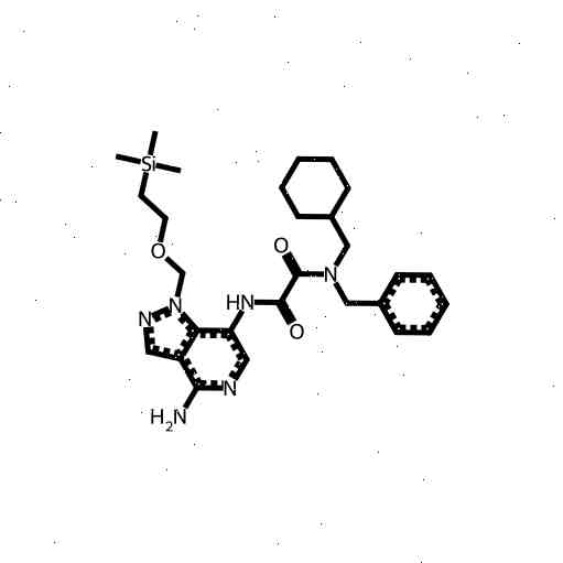 C[Si](C)(C)CCOCn1ncc2c(N)ncc(NC(=O)C(=O)N(Cc3ccccc3)CC3CCCCC3)c21